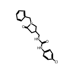 O=C(NCC1CC(=O)N(Cc2ccccc2)C1)Nc1ccc(Cl)cc1